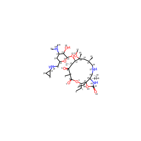 CC[C@H]1OC(=O)C(C)C(=O)[C@H](C)[C@@H](OC2OC(CNC3CC3)CC(N(C)C)C2O)[C@](C)(OC)C[C@@H](C)CN[C@H](C)[C@H]2NC(=O)O[C@@]21CC